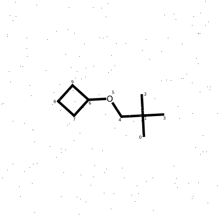 CC(C)(C)COC1CCC1